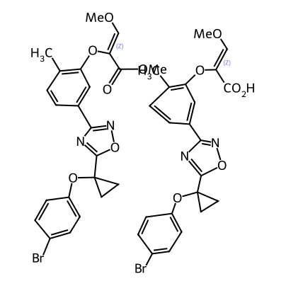 CO/C=C(\Oc1cc(-c2noc(C3(Oc4ccc(Br)cc4)CC3)n2)ccc1C)C(=O)O.CO/C=C(\Oc1cc(-c2noc(C3(Oc4ccc(Br)cc4)CC3)n2)ccc1C)C(=O)OC